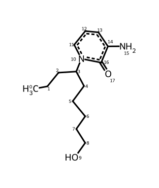 CCCC(CCCCCO)n1cccc(N)c1=O